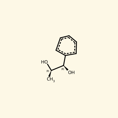 C[C@@H](O)[C@H](O)c1ccccc1